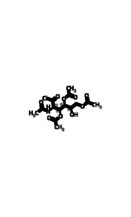 CC(=O)N[C@@H](C(=O)Cl)[C@@H](OC(C)=O)[C@@H](OC(C)=O)[C@H](O)COC(C)=O